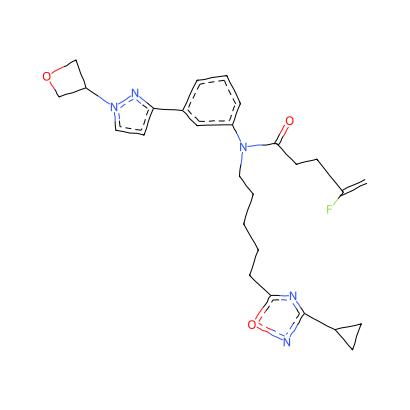 C=C(F)CCC(=O)N(CCCCCc1nc(C2CC2)no1)c1cccc(-c2ccn(C3COC3)n2)c1